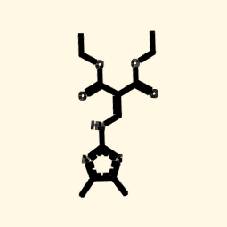 CCOC(=O)C(=CNc1nc(C)c(C)s1)C(=O)OCC